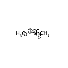 COc1ccc2ccn(CC3(N(C)C)CC3)c2c1